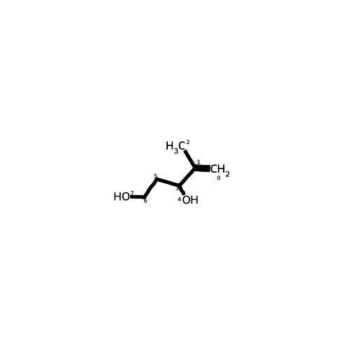 C=C(C)C(O)CCO